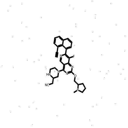 C#Cc1cccc2cccc(-c3ncc4c(N5CCNC(CC#N)C5)nc(OCC5CCCN5C)nc4c3F)c12